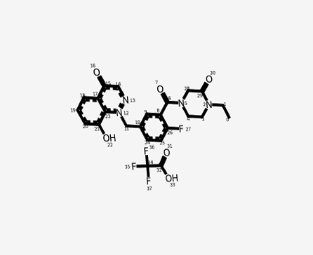 CCN1CCN(C(=O)c2cc(Cn3ncc(=O)c4cccc(O)c43)ccc2F)CC1=O.O=C(O)C(F)(F)F